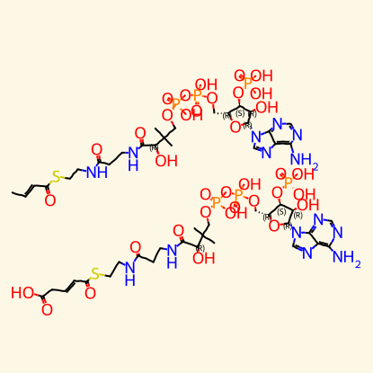 CC(C)(COP(=O)(O)OP(=O)(O)OC[C@H]1O[C@@H](n2cnc3c(N)ncnc32)[C@H](O)[C@@H]1OP(=O)(O)O)[C@@H](O)C(=O)NCCC(=O)NCCSC(=O)C=CCC(=O)O.CC=CC(=O)SCCNC(=O)CCNC(=O)[C@H](O)C(C)(C)COP(=O)(O)OP(=O)(O)OC[C@H]1O[C@@H](n2cnc3c(N)ncnc32)[C@H](O)[C@@H]1OP(=O)(O)O